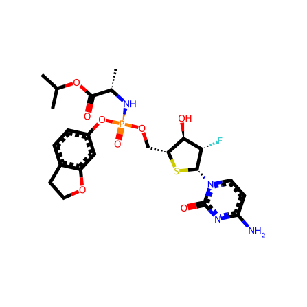 CC(C)OC(=O)[C@H](C)N[P@](=O)(OC[C@H]1S[C@@H](n2ccc(N)nc2=O)[C@@H](F)[C@@H]1O)Oc1ccc2c(c1)OCC2